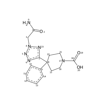 NC(=O)Cn1nnc(C2(c3ccccc3)CCN(C(=O)O)CC2)n1